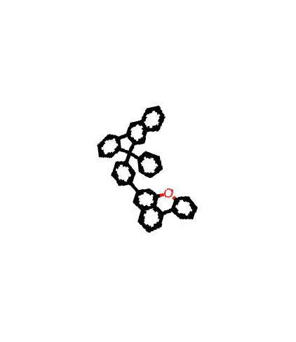 c1ccc(C2(c3cccc(-c4cc5c6c(cccc6c4)-c4ccccc4O5)c3)c3ccccc3-c3cc4ccccc4cc32)cc1